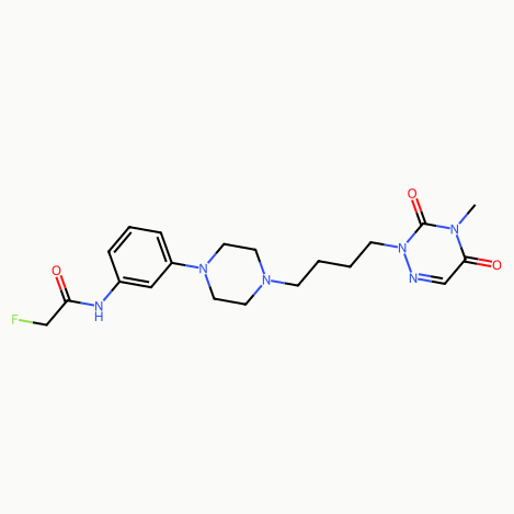 Cn1c(=O)cnn(CCCCN2CCN(c3cccc(NC(=O)CF)c3)CC2)c1=O